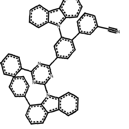 N#Cc1cccc(-c2ccc(-c3nc(-c4ccccc4)nc(-n4c5ccccc5c5cccc(-c6ccccc6)c54)n3)cc2-n2c3ccccc3c3ccccc32)c1